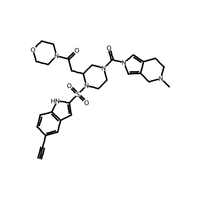 C#Cc1ccc2[nH]c(S(=O)(=O)N3CCN(C(=O)n4cc5c(c4)CN(C)CC5)CC3CC(=O)N3CCOCC3)cc2c1